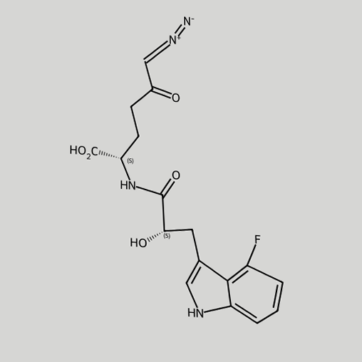 [N-]=[N+]=CC(=O)CC[C@H](NC(=O)[C@@H](O)Cc1c[nH]c2cccc(F)c12)C(=O)O